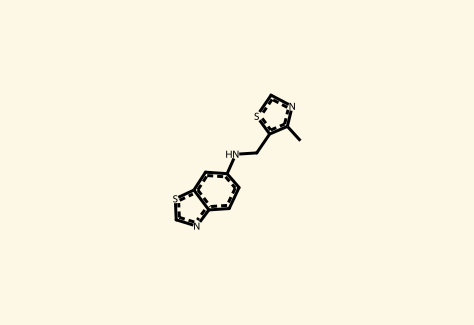 Cc1ncsc1CNc1ccc2ncsc2c1